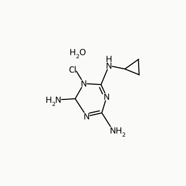 NC1=NC(N)N(Cl)C(NC2CC2)=N1.O